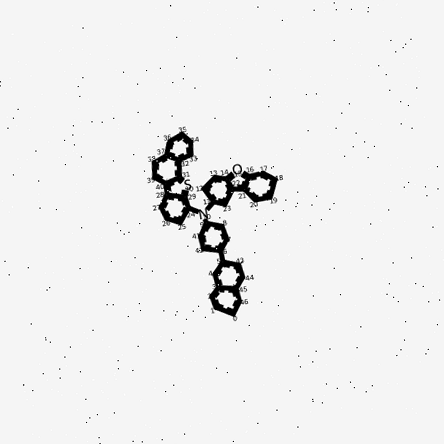 c1ccc2cc(-c3ccc(N(c4ccc5oc6ccccc6c5c4)c4cccc5c4sc4c6ccccc6ccc54)cc3)ccc2c1